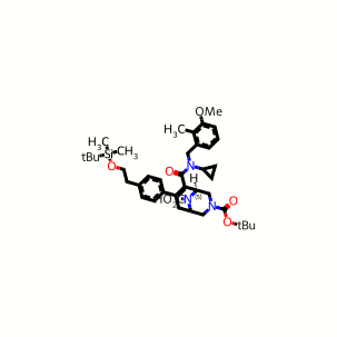 COc1cccc(CN(C(=O)C2=C(c3ccc(CCO[Si](C)(C)C(C)(C)C)cc3)CC3CN(C(=O)OC(C)(C)C)C[C@H]2N3C(=O)O)C2CC2)c1C